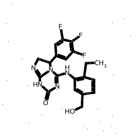 CCc1ccc(CO)cc1NC1=NC(=O)NC2=NCC(c3cc(F)c(F)c(F)c3)N21